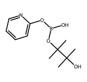 CC(C)(O)C(C)(C)OB(O)Oc1ccccn1